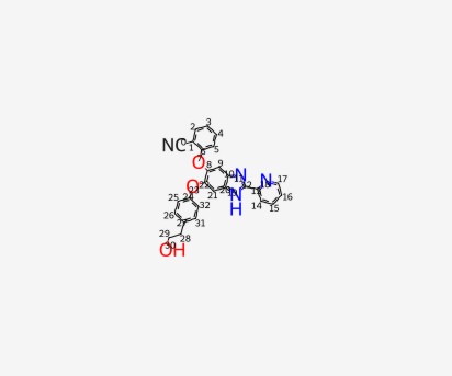 N#Cc1ccccc1Oc1cc2nc(-c3ccccn3)[nH]c2cc1Oc1ccc(CCO)cc1